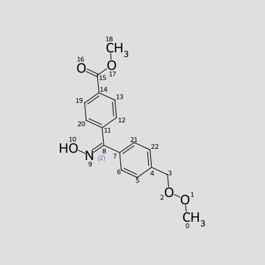 COOCc1ccc(/C(=N/O)c2ccc(C(=O)OC)cc2)cc1